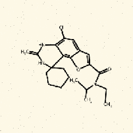 C=C1Nc2c(Cl)cc3cc(C(=O)N(CC)C(C)C)oc3c2C2(CCCCC2)N1